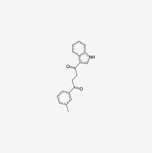 Cc1cccc(C(=O)CCC(=O)c2c[nH]c3ccccc23)c1